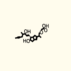 CC#CCC(C)C(O)/C=C/[C@H]1C2CC(C(C)COCC(=O)O)=CC2C[C@H]1O